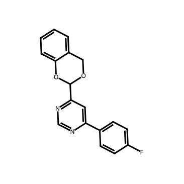 Fc1ccc(-c2cc(C3OCc4ccccc4O3)ncn2)cc1